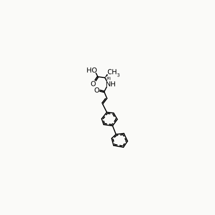 C[C@@H](NC(=O)C=Cc1ccc(-c2ccccc2)cc1)C(=O)O